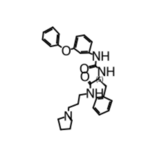 O=C(Nc1cccc(Oc2ccccc2)c1)N[C@@H](Cc1ccccc1)C(=O)NCCCN1CCCC1